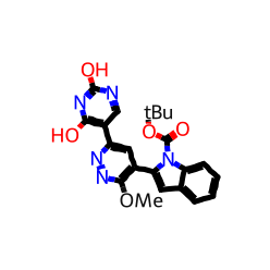 COc1nnc(-c2cnc(O)nc2O)cc1-c1cc2ccccc2n1C(=O)OC(C)(C)C